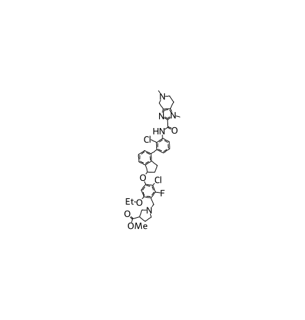 CCOc1cc(OC2CCc3c(-c4cccc(NC(=O)c5nc6c(n5C)CCN(C)C6)c4Cl)cccc32)c(Cl)c(F)c1CN1CCC(C(=O)OC)C1